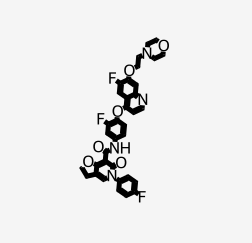 O=C(Nc1ccc(Oc2ccnc3cc(OCCN4CCOCC4)c(F)cc23)c(F)c1)c1c2c(cn(-c3ccc(F)cc3)c1=O)CCO2